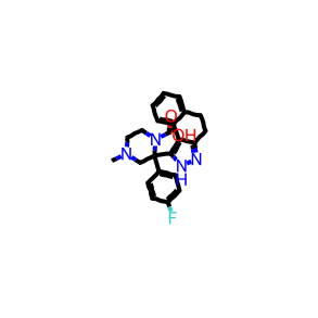 CN1CCN(C(=O)O)C(c2ccc(F)cc2)(c2[nH]nc3c2-c2ccccc2CC3)C1